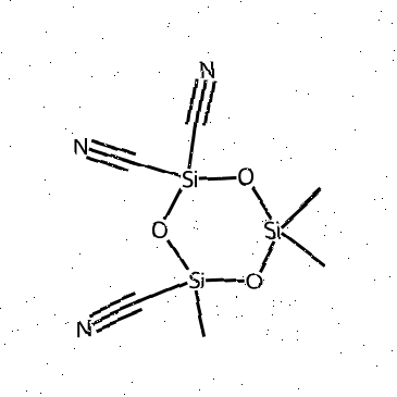 C[Si]1(C)O[Si](C)(C#N)O[Si](C#N)(C#N)O1